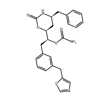 NC(=O)O[C@@H](Cc1cccc(Cc2cncs2)c1)[C@@H]1C[C@H](Cc2ccccc2)NC(=O)O1